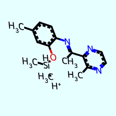 CC(=Nc1ccc(C)cc1O[SiH](C)C)c1nccnc1C.[H+]